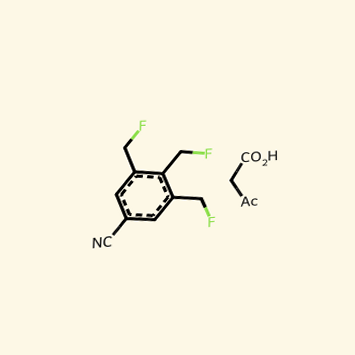 CC(=O)CC(=O)O.N#Cc1cc(CF)c(CF)c(CF)c1